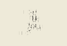 COc1cccc(C(O)N[C@@H](C)[C@H]2CC[C@H]3[C@@H]4CC[C@@H]5C[C@](C)(O)CC[C@@H]5[C@H]4CC[C@]23C)c1